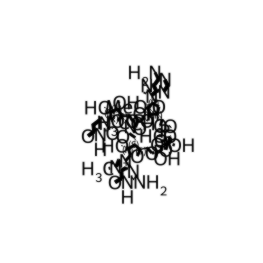 CO[C@@H]1[C@H](OP(=O)(O)OC[C@H]2O[C@@H](n3ccc(=O)[nH]c3=O)[C@H](O)[C@@H]2O)[C@@H](COP(=O)(O)OP(=O)(O)OP(=O)(O)OC[C@H]2OC(n3c[n+](C)c4c(=O)[nH]c(N)nc43)[C@H](O)[C@@H]2CC(=O)N(C)C)O[C@H]1n1cnc2c(N)ncnc21